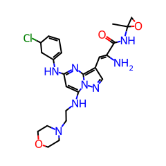 CC1(NC(=O)/C(N)=C/c2cnn3c(NCCN4CCOCC4)cc(NC4=CC=CC(Cl)C4)nc23)CO1